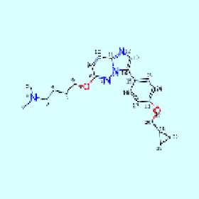 CN(C)CCCCOc1ccc2ncc(-c3ccc(OCC4CC4)cc3)n2n1